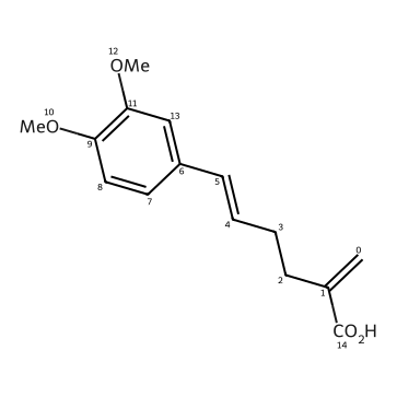 C=C(CCC=Cc1ccc(OC)c(OC)c1)C(=O)O